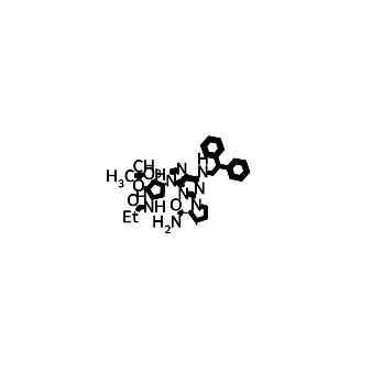 CCC(=O)N[C@H]1C[C@@H](n2cnc3c(NCC(c4ccccc4)c4ccccc4)nc(N4CC[CH][C@@H]4C(N)=O)nc32)[C@@H]2OC(C)(C)O[C@@H]21